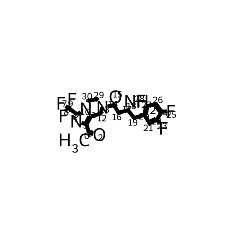 CC(=O)c1nc(C(F)(F)F)n2c1CN(C(=O)C[C@H](N)Cc1cc(F)c(F)cc1F)CC2